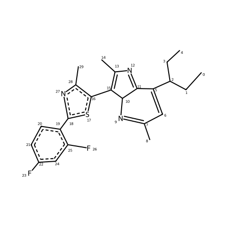 CCC(CC)C1=CC(C)=NC2C1=NC(C)=C2c1sc(-c2ccc(F)cc2F)nc1C